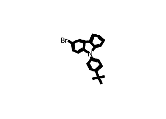 CC(C)(C)c1ccc(-n2c3ccccc3c3cc(Br)ccc32)cc1